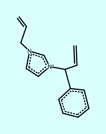 C=CCn1cc[n+](C(C=C)c2ccccc2)c1